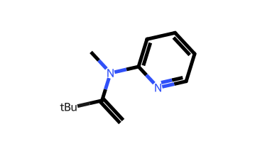 C=C(N(C)c1ccccn1)C(C)(C)C